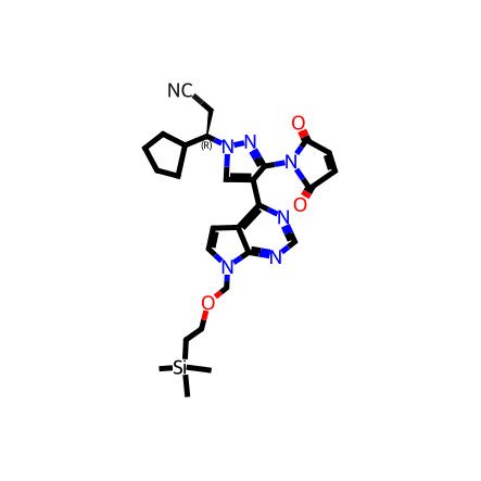 C[Si](C)(C)CCOCn1ccc2c(-c3cn([C@H](CC#N)C4CCCC4)nc3N3C(=O)C=CC3=O)ncnc21